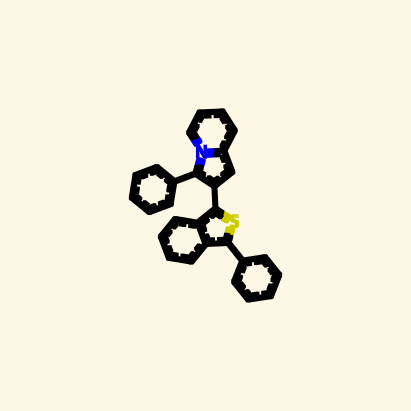 c1ccc(-c2sc(-c3cc4ccccn4c3-c3ccccc3)c3ccccc23)cc1